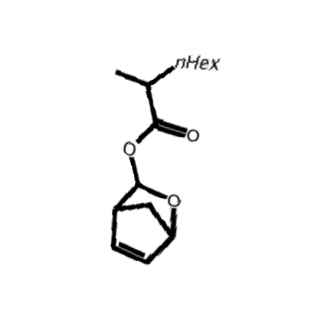 CCCCCCC(C)C(=O)OC1OC2C=CC1C2